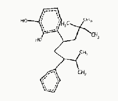 CC(C)C(CC(CC(C)(C)C)c1cccc(O)c1O)c1ccccc1